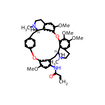 C=CC(=O)Nc1cc(OC)c2cc1C[C@H]1c3c(cc(OC)c(OC)c3Oc3cc4c(cc3OC)CCN(C)[C@H]4Cc3ccc(cc3)O2)CCN1C